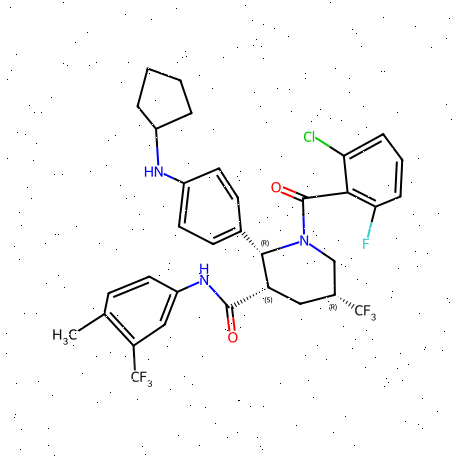 Cc1ccc(NC(=O)[C@H]2C[C@@H](C(F)(F)F)CN(C(=O)c3c(F)cccc3Cl)[C@H]2c2ccc(NC3CCCC3)cc2)cc1C(F)(F)F